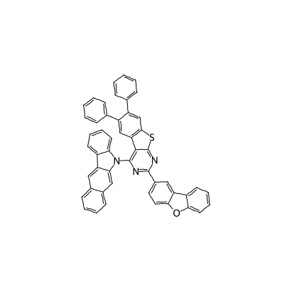 c1ccc(-c2cc3sc4nc(-c5ccc6oc7ccccc7c6c5)nc(-n5c6ccccc6c6cc7ccccc7cc65)c4c3cc2-c2ccccc2)cc1